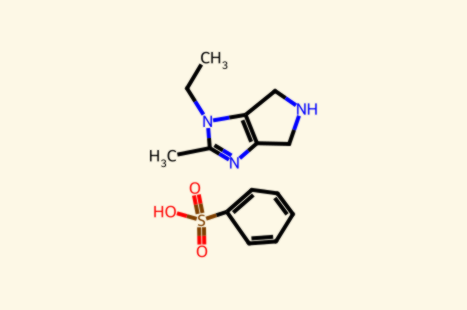 CCn1c(C)nc2c1CNC2.O=S(=O)(O)c1ccccc1